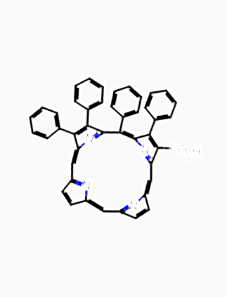 O=C(O)C1=C(c2ccccc2)C2=C(c3ccccc3)C3=NC(=CC4=NC(=CC5=NC(=CC1=N2)C=C5)C=C4)C(c1ccccc1)=C3c1ccccc1